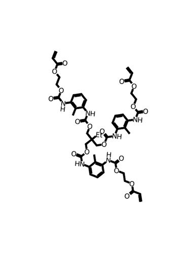 C=CC(=O)OCCOC(=O)Nc1cccc(NC(=O)OCC(CC)(COC(=O)Nc2cccc(NC(=O)OCCOC(=O)C=C)c2C)COC(=O)Nc2cccc(NC(=O)OCCOC(=O)C=C)c2C)c1C